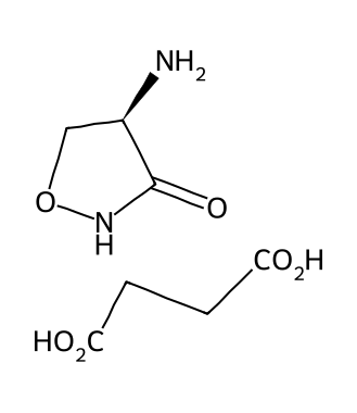 N[C@@H]1CONC1=O.O=C(O)CCC(=O)O